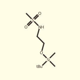 CC(C)(C)[Si](C)(C)OCCNS(C)(=O)=O